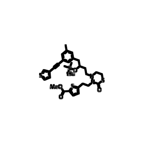 COC(=O)c1ccc(CCN2C(=O)SCCN2CCC(Cc2cc(C)cc(C#Cc3ccsc3)c2)O[Si](C)(C)C(C)(C)C)s1